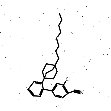 CCCCCCCCC12CCC(c3ccccc3-c3ccc(C#N)c(Cl)c3)(CC1)CC2